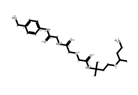 CC(CCN)OCCC(C)(C)NC(=O)COCC(=O)NCC(=O)Nc1ccc(CO)cc1